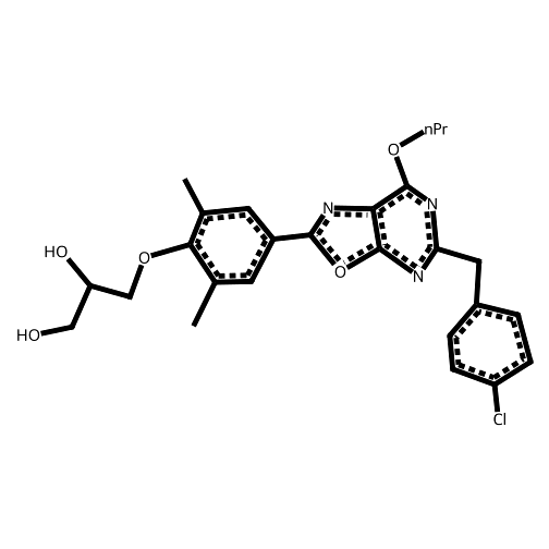 CCCOc1nc(Cc2ccc(Cl)cc2)nc2oc(-c3cc(C)c(OCC(O)CO)c(C)c3)nc12